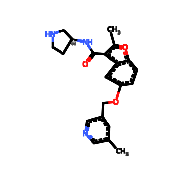 Cc1cncc(COc2ccc3oc(C)c(C(=O)N[C@H]4CCNC4)c3c2)c1